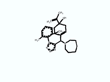 C=C(C)C1(S)CC=C(C(c2nnnn2-c2c(C)cccc2C)N2CCCCCC2)CC1